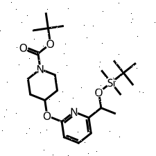 CC(O[Si](C)(C)C(C)(C)C)c1cccc(OC2CCN(C(=O)OC(C)(C)C)CC2)n1